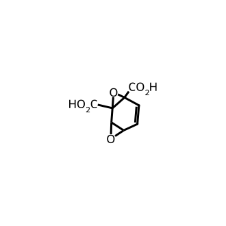 O=C(O)C12C=CC3OC3C1(C(=O)O)O2